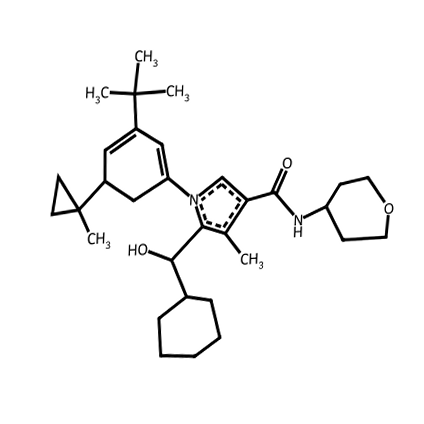 Cc1c(C(=O)NC2CCOCC2)cn(C2=CC(C(C)(C)C)=CC(C3(C)CC3)C2)c1C(O)C1CCCCC1